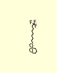 FC(F)(F)CCCCCCCCOC1CCCCO1